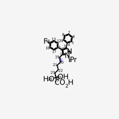 CC(C)n1nc(-c2ccccc2)c(-c2ccc(F)cc2)c1/C=C/CCCC(O)(O)C(=O)O